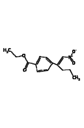 CCCC(=C[N+](=O)[O-])c1ccc(C(=O)OCC)cc1